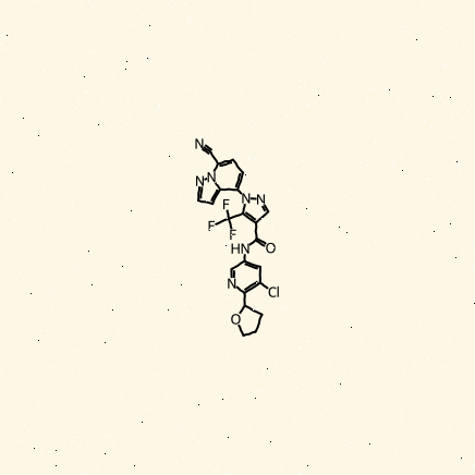 N#Cc1ccc(-n2ncc(C(=O)Nc3cnc(C4CCCO4)c(Cl)c3)c2C(F)(F)F)c2ccnn12